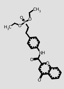 CCOP(=O)(CCc1ccc(NC(=O)c2cc(=O)c3ccccc3o2)cc1)OCC